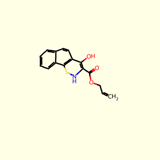 C=CCOC(=O)C1=C(O)c2ccc3ccccc3c2SN1